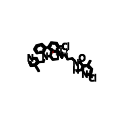 Cc1ccncc1CN(c1ccccc1-c1ccc(Cl)nc1)C1CCN([C@H](C)CCNC(=O)c2c(C)cc(Cl)nc2C)CC1